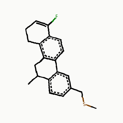 CSCc1ccc2c(c1)-c1ccc3c(c1CC2C)CCC=C3F